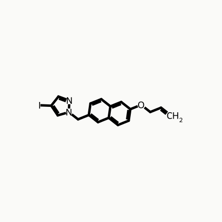 C=CCOc1ccc2cc(Cn3cc(I)cn3)ccc2c1